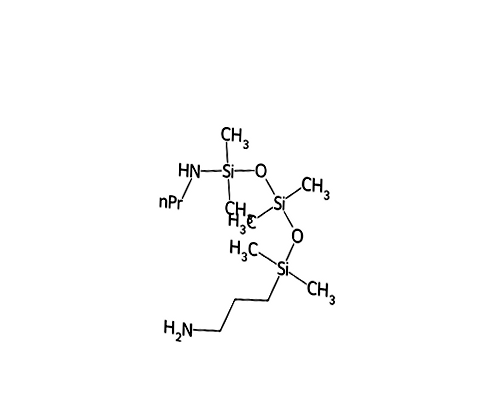 CCCN[Si](C)(C)O[Si](C)(C)O[Si](C)(C)CCCN